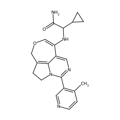 Cc1ccncc1C1=NC=C2C(NC(C(N)=O)C3CC3)=COCC3=C2N1CC3